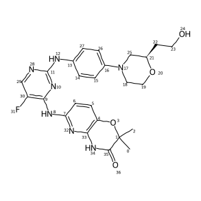 CC1(C)Oc2ccc(Nc3nc(Nc4ccc(N5CCO[C@H](CCO)C5)cc4)ncc3F)nc2NC1=O